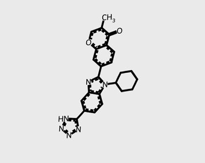 Cc1coc2cc(-c3nc4cc(-c5nnn[nH]5)ccc4n3C3CCCCC3)ccc2c1=O